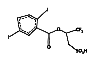 O=C(OC(CS(=O)(=O)O)C(F)(F)F)c1cc(I)ccc1I